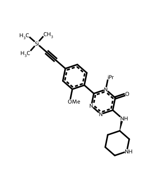 COc1cc(C#C[Si](C)(C)C)ccc1-c1nnc(N[C@@H]2CCCNC2)c(=O)n1C(C)C